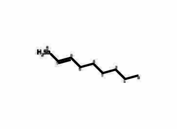 CCCCCCC=[CH][SbH2]